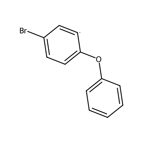 Brc1c[c]c(Oc2ccccc2)cc1